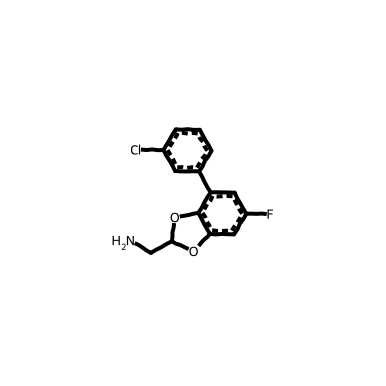 NCC1Oc2cc(F)cc(-c3cccc(Cl)c3)c2O1